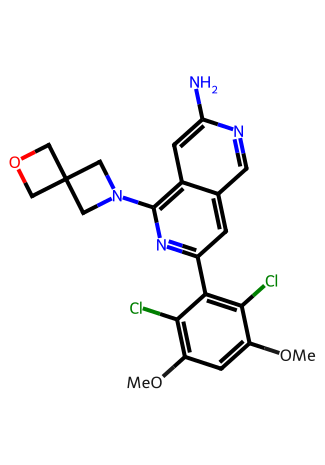 COc1cc(OC)c(Cl)c(-c2cc3cnc(N)cc3c(N3CC4(COC4)C3)n2)c1Cl